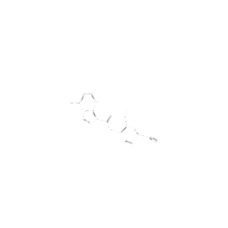 C#Cc1ccc(NC(=O)c2ccn3c(C)cc(C)nc23)c(CO)c1